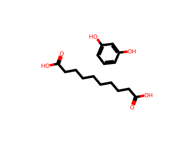 O=C(O)CCCCCCCCC(=O)O.Oc1cccc(O)c1